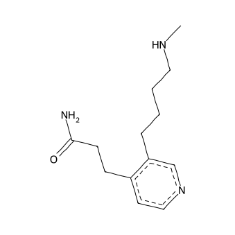 CNCCCCc1cnccc1CCC(N)=O